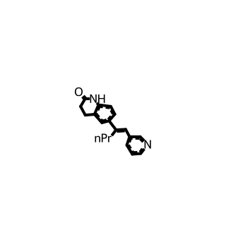 CCCC(=Cc1cccnc1)c1ccc2c(c1)CCC(=O)N2